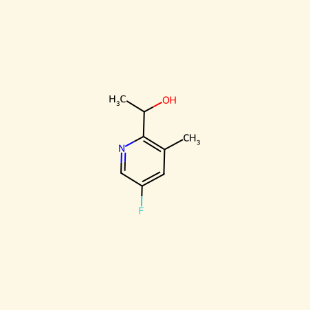 Cc1cc(F)cnc1C(C)O